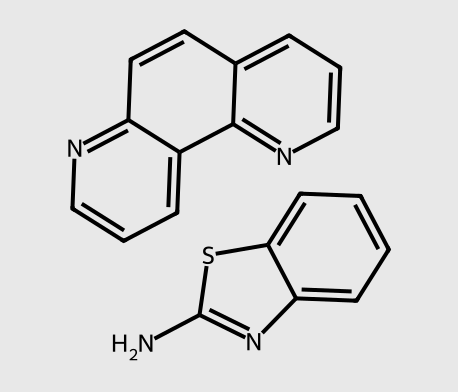 Nc1nc2ccccc2s1.c1cnc2c(c1)ccc1ncccc12